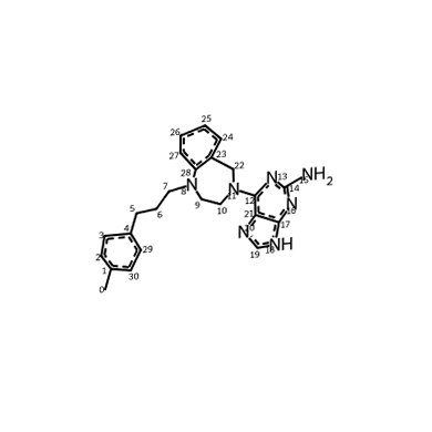 Cc1ccc(CCCN2CCN(c3nc(N)nc4[nH]cnc34)Cc3ccccc32)cc1